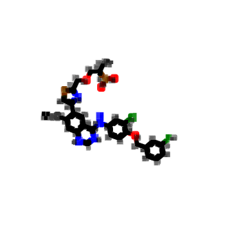 COc1cc2ncnc(Nc3ccc(OCc4cccc(F)c4)c(Cl)c3)c2cc1-c1csc(COCC(C(C)C)=S(=O)=O)n1